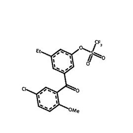 CCc1cc(OS(=O)(=O)C(F)(F)F)cc(C(=O)c2cc(Cl)ccc2OC)c1